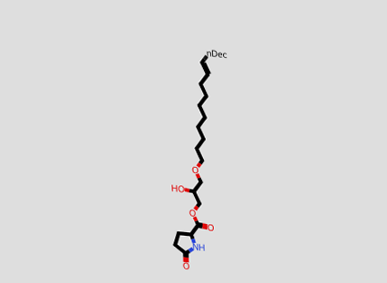 CCCCCCCCCCC=CCCCCCCCCOCC(O)COC(=O)C1CCC(=O)N1